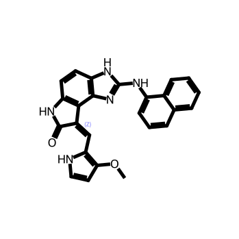 COc1cc[nH]c1/C=C1\C(=O)Nc2ccc3[nH]c(Nc4cccc5ccccc45)nc3c21